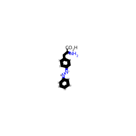 N[C@@H](Cc1ccc(N=Nc2ccccc2)cc1)C(=O)O